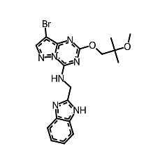 COC(C)(C)COc1nc(NCc2nc3ccccc3[nH]2)n2ncc(Br)c2n1